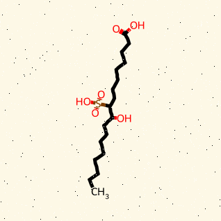 CCCCCCCCC(O)C(CCCCCCCC(=O)O)S(=O)(=O)O